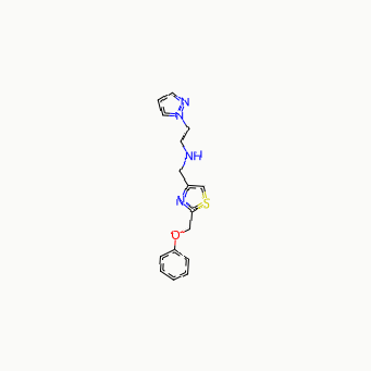 c1ccc(OCc2nc(CNCCn3cccn3)cs2)cc1